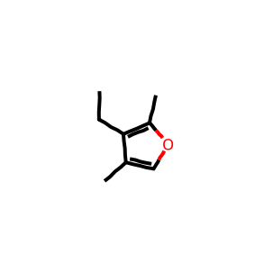 CCc1c(C)coc1C